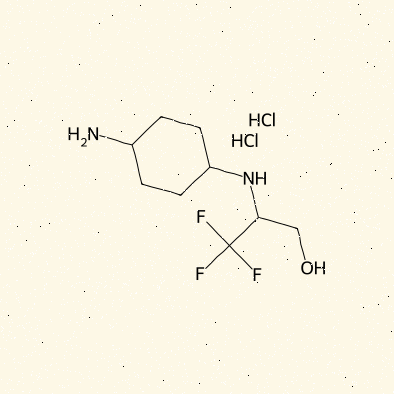 Cl.Cl.NC1CCC(NC(CO)C(F)(F)F)CC1